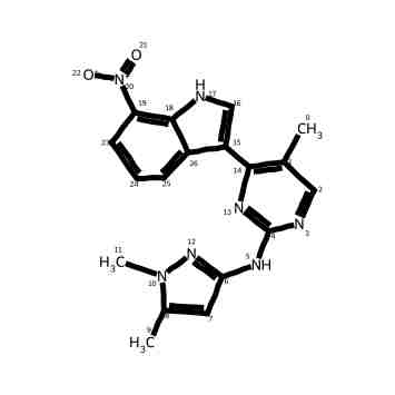 Cc1cnc(Nc2cc(C)n(C)n2)nc1-c1c[nH]c2c([N+](=O)[O-])cccc12